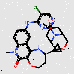 Cn1c(=O)c2c(c3cc(Nc4nc(N5C6COCC5CC(C)(O)C6)ncc4Cl)ccc31)N[C@@H](C1CC1)CCO2